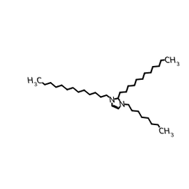 CCCCCCCCCCCCCN1C=CN(CCCCCCCC)C1CCCCCCCCCCCC